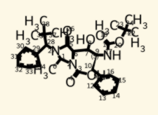 CC1N(C(=O)O)C(C(O)[C@H](Cc2ccccc2)NC(=O)OC(C)(C)C)C(=O)N1C(c1ccccc1)C(C)(C)C